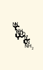 Cc1ccn(NCc2cnn(C)c2C)c(=O)c1CC(=O)N(C)c1ccc(N)nc1C